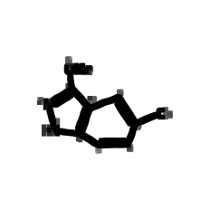 COc1n[nH]c2ccc(Cl)cc12